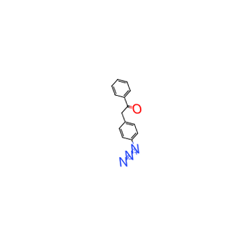 [N-]=[N+]=Nc1ccc(CC(=O)c2ccccc2)cc1